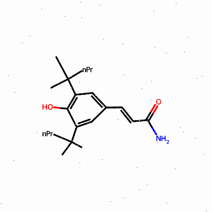 CCCC(C)(C)c1cc(/C=C/C(N)=O)cc(C(C)(C)CCC)c1O